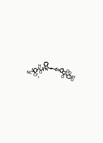 CC(C)(C(=O)Nc1cnc(C#N)c(C(F)(F)F)c1)n1nc(C#CC2CN(c3ccc4c(c3)C(=O)N(C3CCC(=O)NC3=O)C4=O)C2)c2ccccc21